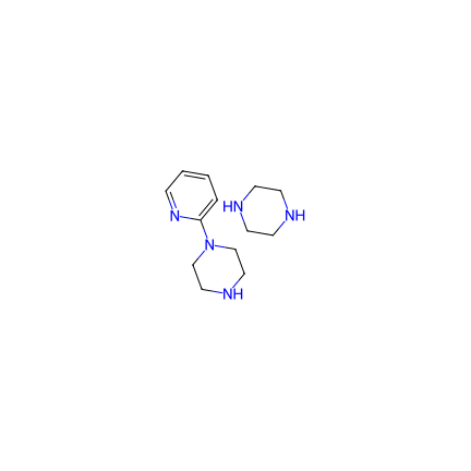 C1CNCCN1.c1ccc(N2CCNCC2)nc1